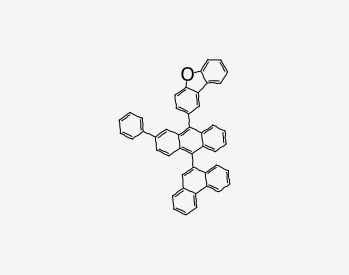 c1ccc(-c2ccc3c(-c4cc5ccccc5c5ccccc45)c4ccccc4c(-c4ccc5oc6ccccc6c5c4)c3c2)cc1